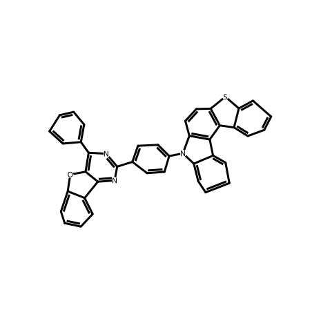 c1ccc(-c2nc(-c3ccc(-n4c5ccccc5c5c6c(ccc54)sc4ccccc46)cc3)nc3c2oc2ccccc23)cc1